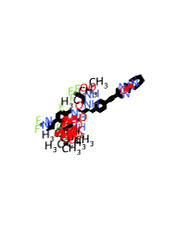 COC(=O)N[C@H](C(=O)N[C@@H](Cc1ccc(C#Cc2cnc(N3CC4CCC(C3)N4C3COC3)nc2)cc1)[C@H](CN(Cc1c(F)cc(-c2ccn(C(F)F)n2)cc1F)NC(=O)[C@@H](NC(=O)OC)C(C)(C)C(F)(F)F)OC(=O)OCOP(=O)(OC(C)(C)C)OC(C)(C)C)C(C)(C)C(F)(F)F